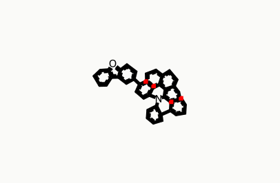 c1ccc(-c2ccccc2N(c2ccc(-c3ccc4oc5ccccc5c4c3)cc2)c2cccc3ccc4ccccc4c23)cc1